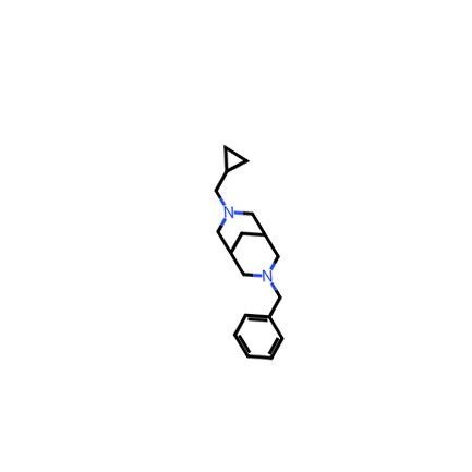 c1ccc(CN2CC3CC(C2)CN(CC2CC2)C3)cc1